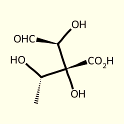 C[C@H](O)[C@](O)(C(=O)O)[C@H](O)C=O